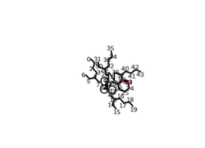 CCCCC(CC)COP(=O)(OCC(CC)CCCC)C(C1CCCCC1)N(CC(CC)CCCC)CC(CC)CCCC